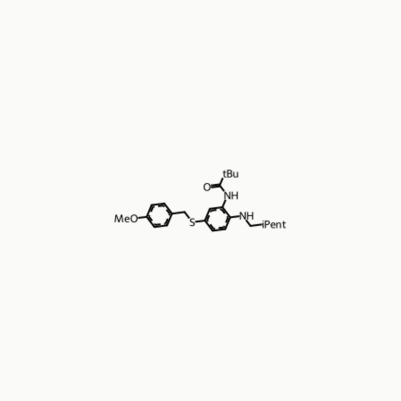 CCCC(C)CNc1ccc(SCc2ccc(OC)cc2)cc1NC(=O)C(C)(C)C